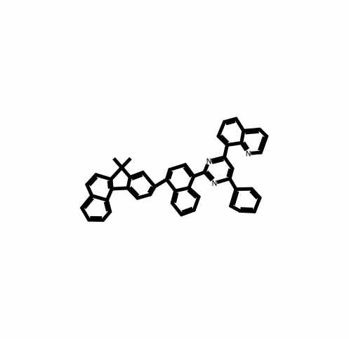 CC1(C)c2cc(-c3ccc(-c4nc(-c5ccccc5)cc(-c5cccc6cccnc56)n4)c4ccccc34)ccc2-c2c1ccc1ccccc21